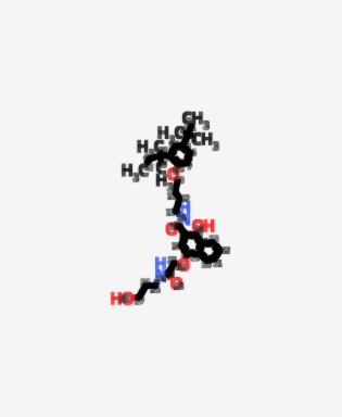 CCC(C)(C)c1ccc(OCCCCNC(=O)c2cc(OCC(=O)NCCCO)c3ccccc3c2O)c(C(C)(C)CC)c1